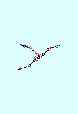 C=CCOCCCCCCOc1ccc(C#Cc2ccc(C(=O)Oc3ccc(OC(=O)c4ccc(C#Cc5ccc(OCCCCCCOCC=C)cc5)cc4)c(C(=O)OCCCCCCCCOc4ccc(-c5ccc(C#N)cc5)cc4)c3)cc2)cc1